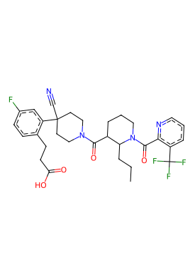 CCCC1C(C(=O)N2CCC(C#N)(c3cc(F)ccc3CCC(=O)O)CC2)CCCN1C(=O)c1ncccc1C(F)(F)F